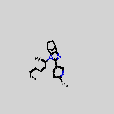 C=C(/C=C\C=C/C)n1c(-c2ccc(C)nc2)nc2c1C1CCC2C1